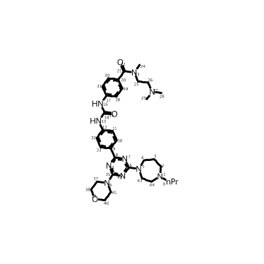 CCCN1CCCN(c2nc(-c3ccc(NC(=O)Nc4ccc(C(=O)N(C)CCN(C)C)cc4)cc3)nc(N3CCOCC3)n2)CC1